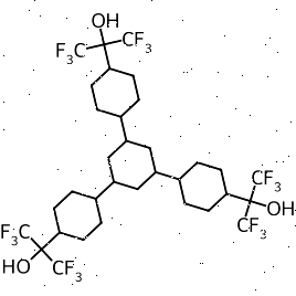 OC(C1CCC(C2CC(C3CCC(C(O)(C(F)(F)F)C(F)(F)F)CC3)CC(C3CCC(C(O)(C(F)(F)F)C(F)(F)F)CC3)C2)CC1)(C(F)(F)F)C(F)(F)F